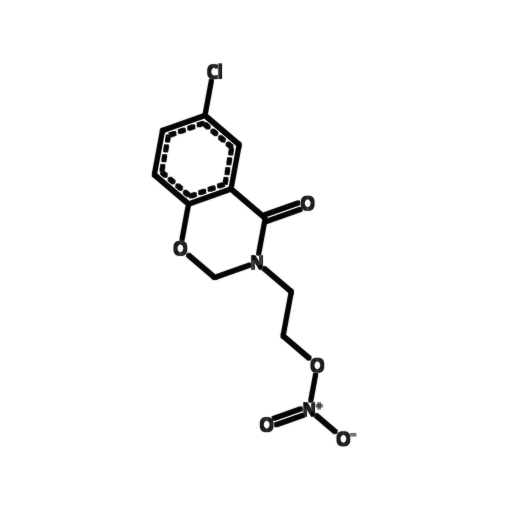 O=C1c2cc(Cl)ccc2OCN1CCO[N+](=O)[O-]